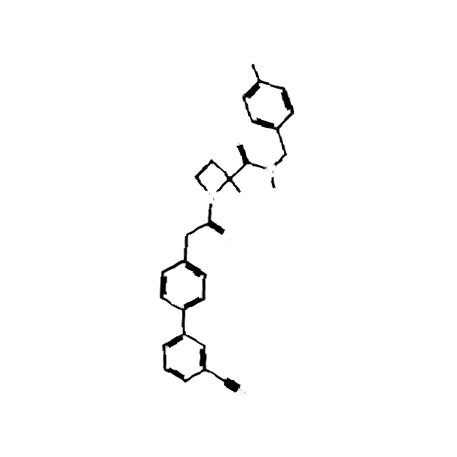 CN(Cc1ccc(Cl)cc1)C(=O)C1(C)CCN1C(=O)Cc1ccc(-c2cccc(C#N)c2)cc1